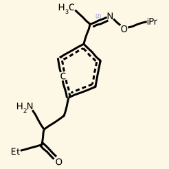 CCC(=O)C(N)Cc1ccc(/C(C)=N\OC(C)C)cc1